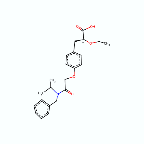 CCO[C@@H](Cc1ccc(OCC(=O)N(Cc2ccccc2)C(C)C)cc1)C(=O)O